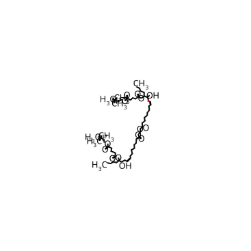 CCCCCC(OC(=O)CCCC(=O)OCC[N+](C)(C)C)C(O)C/C=C\CCCCCCCC(=O)OCOC(=O)CCCCCCC/C=C\CC(O)C(CCCCC)OC(=O)CCCC(=O)OCC[N+](C)(C)C